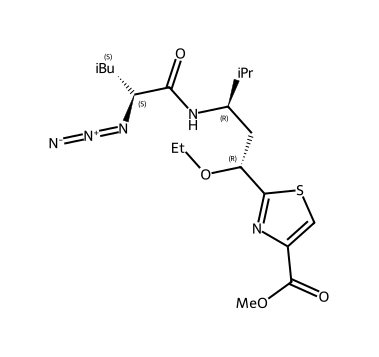 CCO[C@H](C[C@@H](NC(=O)[C@@H](N=[N+]=[N-])[C@@H](C)CC)C(C)C)c1nc(C(=O)OC)cs1